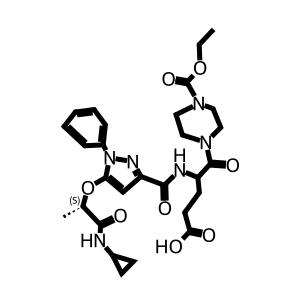 CCOC(=O)N1CCN(C(=O)C(CCC(=O)O)NC(=O)c2cc(O[C@@H](C)C(=O)NC3CC3)n(-c3ccccc3)n2)CC1